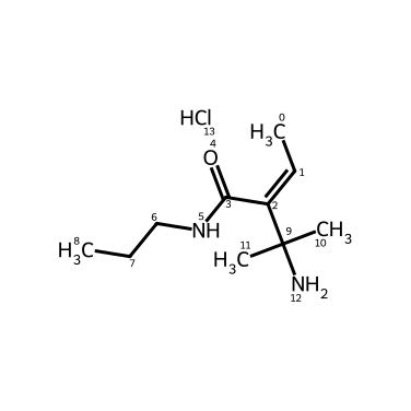 CC=C(C(=O)NCCC)C(C)(C)N.Cl